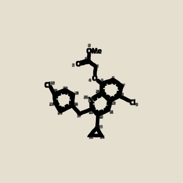 COC(=O)COc1ccc(Cl)c2cc(C3CC3)c(Cc3ccc(Cl)cc3)nc12